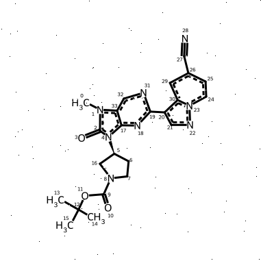 Cn1c(=O)n([C@H]2CCN(C(=O)OC(C)(C)C)C2)c2nc(-c3cnn4ccc(C#N)cc34)ncc21